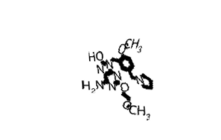 COCCOc1nc(N)c2nc(O)n(Cc3cc(CN4CCCC4)ccc3OC)c2n1